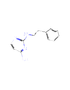 Nc1ccnc(NCCc2ccccc2)n1